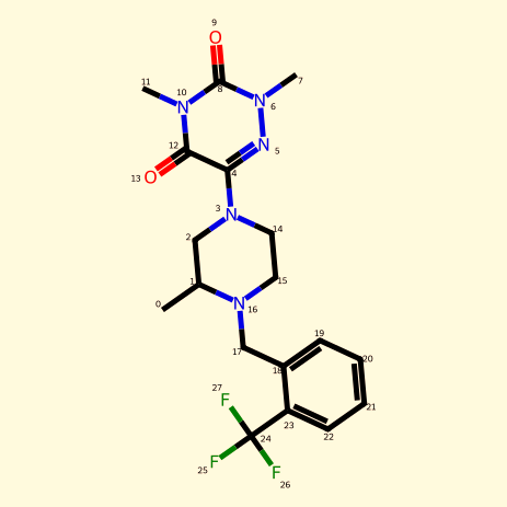 CC1CN(c2nn(C)c(=O)n(C)c2=O)CCN1Cc1ccccc1C(F)(F)F